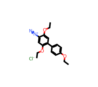 CCOc1ccc(-c2cc(OCC)c([N+]#N)cc2OCC)cc1.[Cl-]